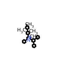 Cc1ccc(-c2ccc(C3=CC(c4ccccc4)=NC(c4cc(-c5ccccc5)cc(-c5ccccc5)c4)N3C)cc2C)c(C)c1